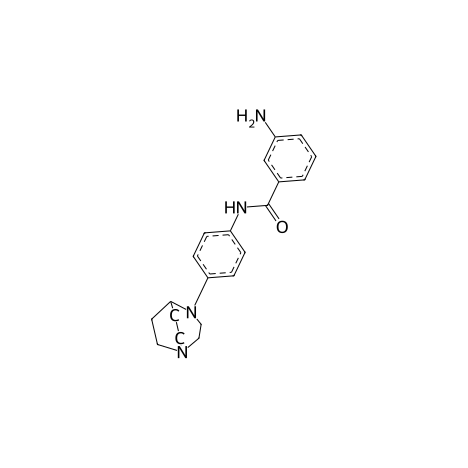 Nc1cccc(C(=O)Nc2ccc(N3CCN4CCC3CC4)cc2)c1